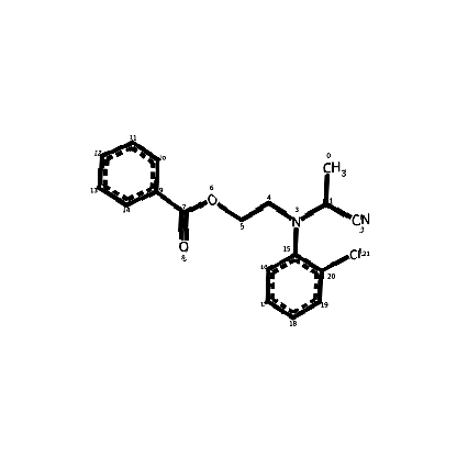 CC(C#N)N(CCOC(=O)c1ccccc1)c1ccccc1Cl